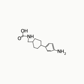 Nc1ccc(C2CCC(CNC(=O)O)CC2)cc1